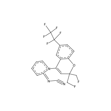 N#C/N=c1/ccccn1C1=CC(CF)(CF)Oc2ccc(C(F)(F)C(F)(F)F)cc21